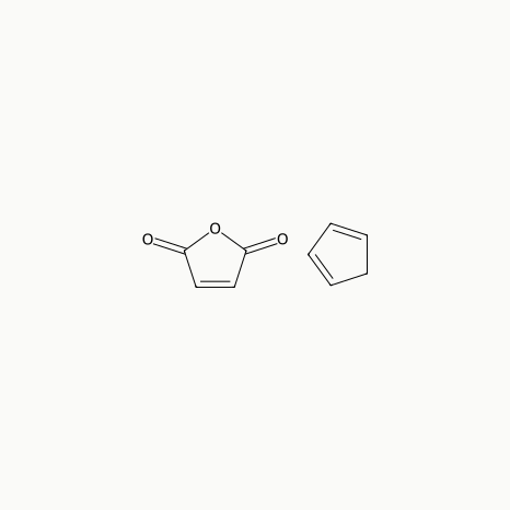 C1=CCC=C1.O=C1C=CC(=O)O1